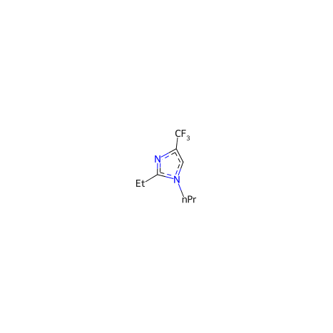 CCCn1cc(C(F)(F)F)nc1CC